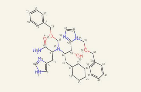 NC(=O)[C@H](Cc1c[nH]cn1)N(COCc1ccccc1)[C@@H](CC1CCCCC1)[C@@H](O)c1nccn1COCc1ccccc1